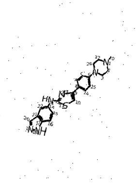 CN1CCN(c2ccc(-c3csc(Nc4ccc5[nH]ncc5c4)n3)cc2)CC1